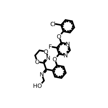 OC/N=C(/C1=NOCCO1)c1ccccc1Oc1ncnc(Oc2ccccc2Cl)c1F